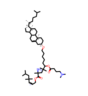 CC(C)CCC[C@@H](C)[C@H]1CCC2C3CC=C4C[C@@H](OCCCCCC(OC(=O)CCCN(C)C)C(C)(C)CC(C)(N)C(=O)OC/C=C\C(C)(C)CC(C)C)CC[C@]4(C)C3CC[C@@]21C